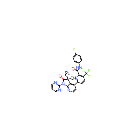 CC1(C)C(=O)N(c2ncccn2)c2nccc(-c3ccc(C(F)(F)F)c(C(=O)Nc4ccc(F)cc4)n3)c21